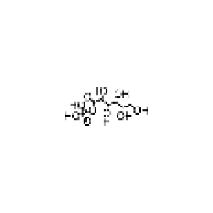 O=C(OP(=O)(O)O)[C@@H](O)[C@@H](O)[C@H](O)[C@@H](O)CO